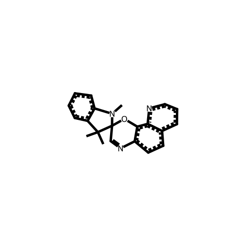 CN1c2ccccc2C(C)(C)C12C=Nc1ccc3cccnc3c1O2